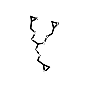 C(SSC(SSCC1CS1)SSCC1CS1)C1CS1